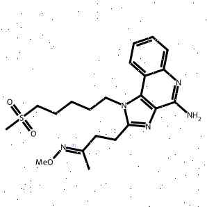 CO/N=C(\C)CCc1nc2c(N)nc3ccccc3c2n1CCCCCS(C)(=O)=O